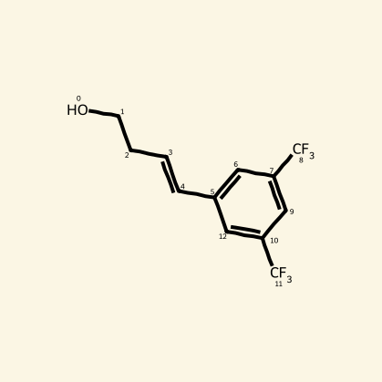 OCCC=Cc1cc(C(F)(F)F)cc(C(F)(F)F)c1